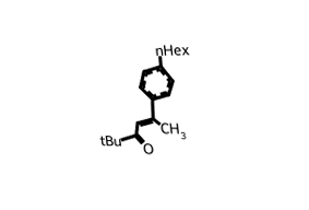 CCCCCCc1ccc(/C(C)=C/C(=O)C(C)(C)C)cc1